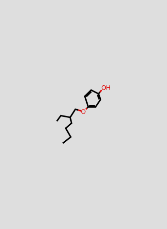 CCCCC(CC)COc1ccc(O)cc1